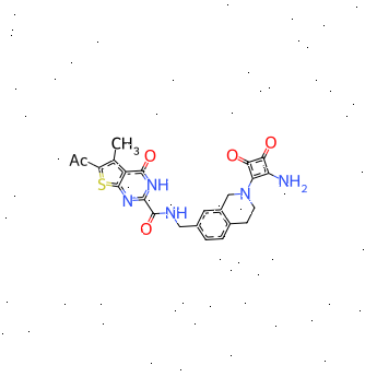 CC(=O)c1sc2nc(C(=O)NCc3ccc4c(c3)CN(c3c(N)c(=O)c3=O)CC4)[nH]c(=O)c2c1C